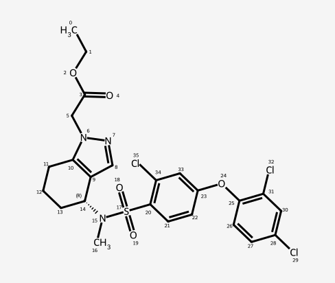 CCOC(=O)Cn1ncc2c1CCC[C@H]2N(C)S(=O)(=O)c1ccc(Oc2ccc(Cl)cc2Cl)cc1Cl